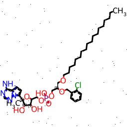 CCCCCCCCCCCCCCCCCCOC[C@H](COP(=O)(O)OCC1O[C@@](C)(c2ccc3c(N)ncnn23)[C@H](O)[C@@H]1O)OCc1ccccc1Cl